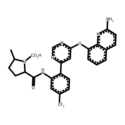 CC1CCC(C(=O)Nc2cc(C(F)(F)F)ccc2-c2cc(Oc3cccc4ccc(N)nc34)ncn2)N1C(=O)O